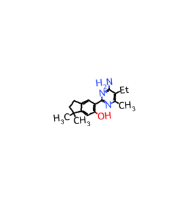 CCc1c(C)nc(-c2cc3c(cc2O)C(C)(C)CC3)nc1N